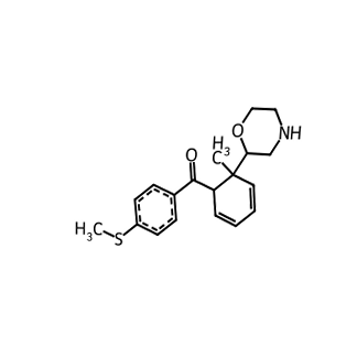 CSc1ccc(C(=O)C2C=CC=CC2(C)C2CNCCO2)cc1